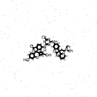 CC(C)N(CCC(C(N)=O)(c1ccc(Nc2nc(Cl)nc(Nc3ccc4c(c3)C3(OC4=O)c4ccc(O)cc4Oc4cc(O)ccc43)n2)cc1)c1ccccn1)C(C)C